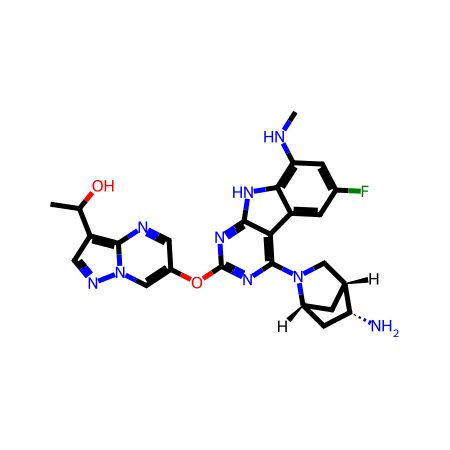 CNc1cc(F)cc2c1[nH]c1nc(Oc3cnc4c(C(C)O)cnn4c3)nc(N3C[C@H]4C[C@@H]3C[C@H]4N)c12